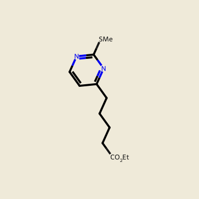 CCOC(=O)CCCCc1ccnc(SC)n1